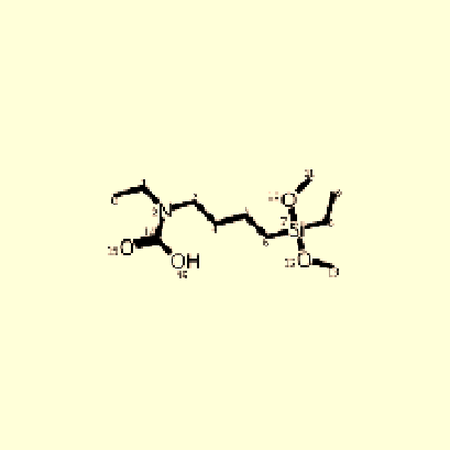 CCN(CCCC[Si](CC)(OC)OC)C(=O)O